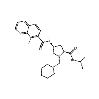 Cc1c(C(=O)N[C@H]2C[C@@H](C(=O)NC(C)C)N(CC3CCCCC3)C2)ccc2ccccc12